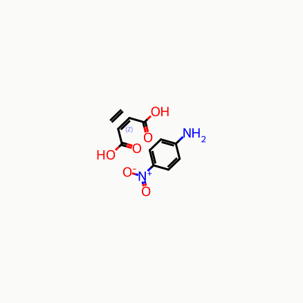 C=C.Nc1ccc([N+](=O)[O-])cc1.O=C(O)/C=C\C(=O)O